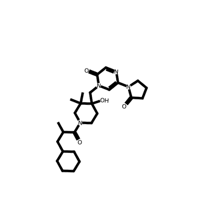 CC(CC1CCCCC1)C(=O)N1CCC(O)(Cn2cc(N3CCCC3=O)ncc2=O)C(C)(C)C1